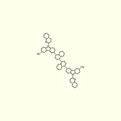 N#Cc1ccc2c(c1)c1cc(-c3ccc(-c4ccc(-c5ccc6c(c5)c5cc(C#N)ccc5n6-c5ccc6ccccc6n5)c5ccccc45)c4ccccc34)ccc1n2-c1ccc2ccccc2n1